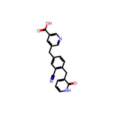 N#Cc1cc(Cc2cncc(C(=O)O)c2)ccc1Cc1ccc[nH]c1=O